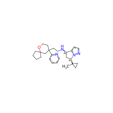 CC1([C@H]2C[C@@H](NCCC3(c4ccccn4)CCOC4(CCCC4)C3)c3ccnn32)CC1